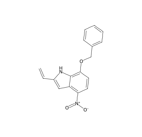 C=Cc1cc2c([N+](=O)[O-])ccc(OCc3ccccc3)c2[nH]1